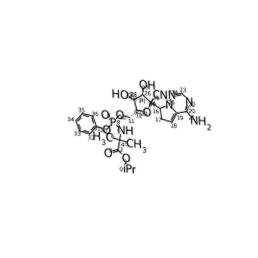 CC(C)OC(=O)C(C)(C)NP(=O)(OC[C@H]1O[C@@](C#N)(C2CC=C3C(N)=NC=NN32)[C@H](O)[C@@H]1O)Oc1ccccc1